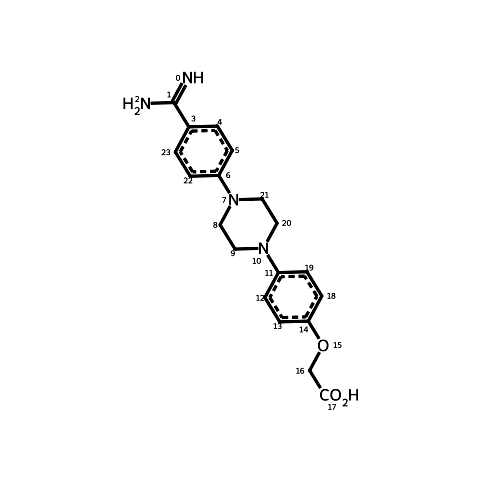 N=C(N)c1ccc(N2CCN(c3ccc(OCC(=O)O)cc3)CC2)cc1